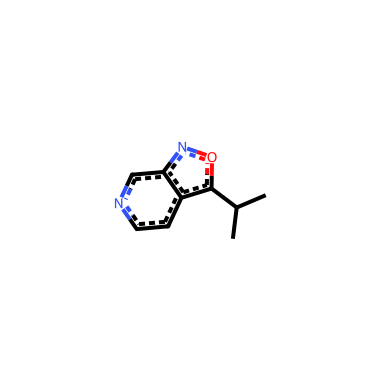 CC(C)c1onc2cnccc12